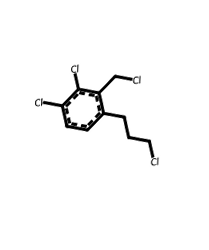 ClCCCc1ccc(Cl)c(Cl)c1CCl